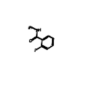 CC(C)NC(=O)c1ccccc1F